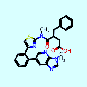 CN(C(=O)C(CC(=O)O)Cc1ccccc1)c1nc(-c2ccccc2-c2cnc3c(c2)ncn3C)cs1